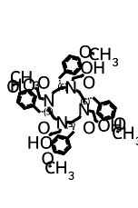 COc1ccc(C[C@H]2CN(CC(=O)O)[C@@H](Cc3ccc(OC)cc3)CN(CC(=O)O)[C@@H](Cc3ccc(OC)cc3)CN(CC(=O)O)[C@@H](Cc3ccc(OC)cc3)CN2CC(=O)O)cc1